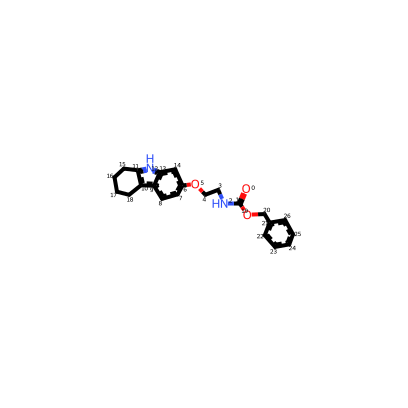 O=C(NCCOc1ccc2c3c([nH]c2c1)CCCC3)OCc1ccccc1